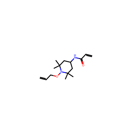 C=CCON1C(C)(C)CC(NC(=O)C=C)CC1(C)C